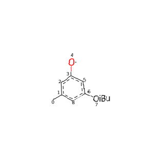 Cc1cc([O])cc(OCC(C)C)c1